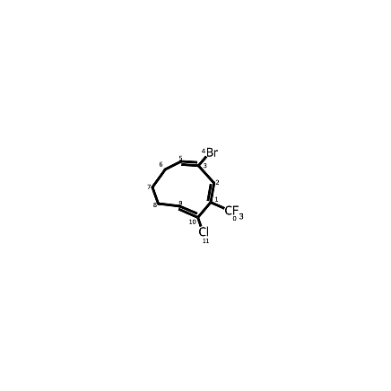 FC(F)(F)C1=C/C(Br)=C\CCC\C=C\1Cl